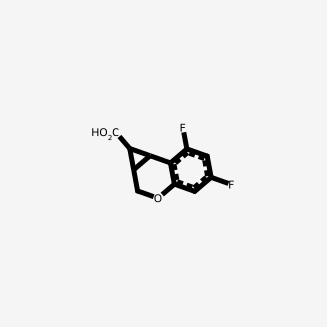 O=C(O)C1C2COc3cc(F)cc(F)c3C21